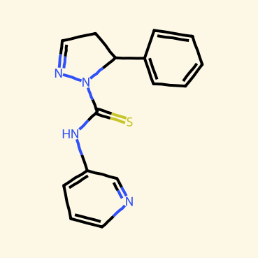 S=C(Nc1cccnc1)N1N=CCC1c1ccccc1